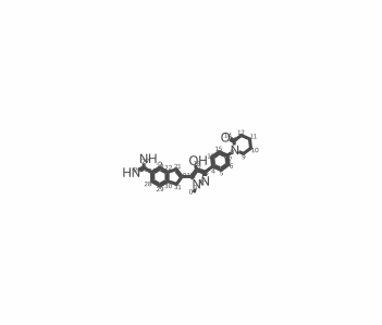 Cn1nc(-c2ccc(N3CCCCC3=O)cc2)c(O)c1C1=Cc2cc(C(=N)N)ccc2C1